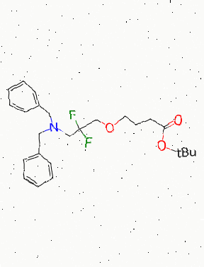 CC(C)(C)OC(=O)CCCOCC(F)(F)CN(Cc1ccccc1)Cc1ccccc1